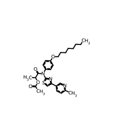 CCCCCCCCOc1ccc(N(C(=O)C(C)OC(C)=O)c2nc(-c3ccc(C)nc3)cs2)cc1